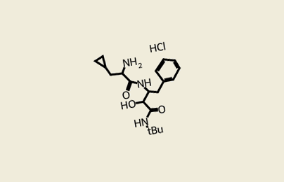 CC(C)(C)NC(=O)C(O)C(Cc1ccccc1)NC(=O)C(N)CC1CC1.Cl